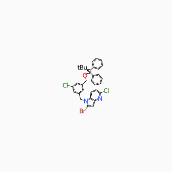 CC(C)(C)[Si](OCc1cc(Cl)cc(Cn2c(Br)cc3nc(Cl)ccc32)c1)(c1ccccc1)c1ccccc1